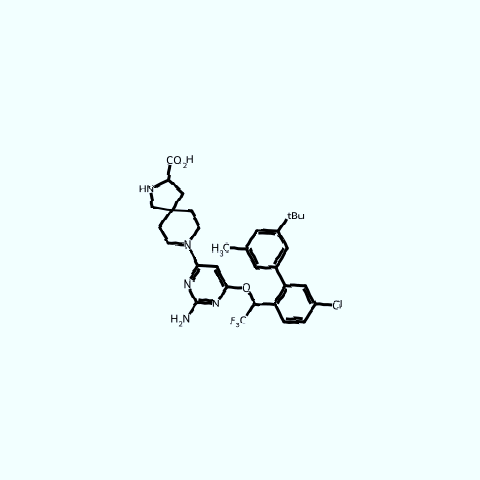 Cc1cc(-c2cc(Cl)ccc2C(Oc2cc(N3CCC4(CC3)CNC(C(=O)O)C4)nc(N)n2)C(F)(F)F)cc(C(C)(C)C)c1